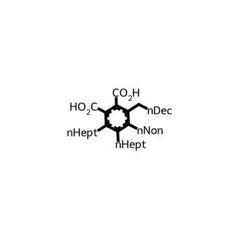 CCCCCCCCCCCc1c(CCCCCCCCC)c(CCCCCCC)c(CCCCCCC)c(C(=O)O)c1C(=O)O